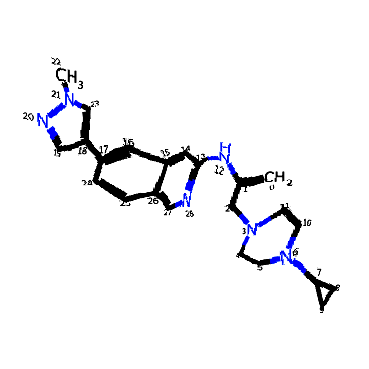 C=C(CN1CCN(C2CC2)CC1)Nc1cc2cc(-c3cnn(C)c3)ccc2cn1